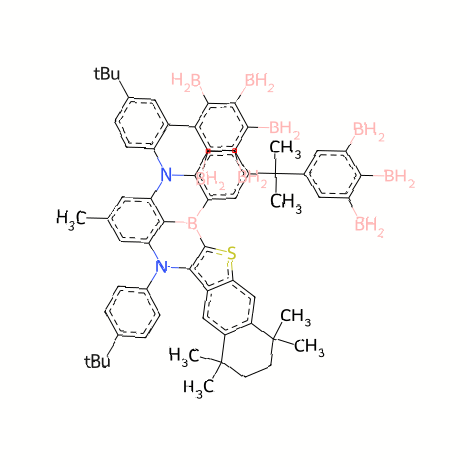 Bc1cc(C(C)(C)c2ccc3c(c2)B2c4sc5cc6c(cc5c4N(c4ccc(C(C)(C)C)cc4)c4cc(C)cc(c42)N3c2ccc(C(C)(C)C)cc2-c2c(B)c(B)c(B)c(B)c2B)C(C)(C)CCC6(C)C)cc(B)c1B